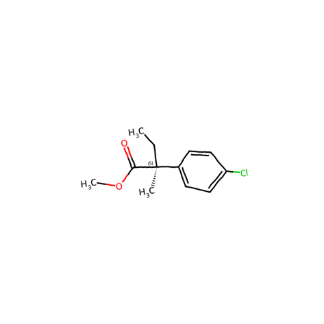 CC[C@](C)(C(=O)OC)c1ccc(Cl)cc1